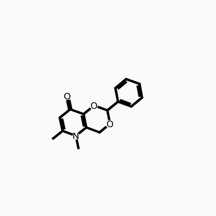 Cc1cc(=O)c2c(n1C)COC(c1ccccc1)O2